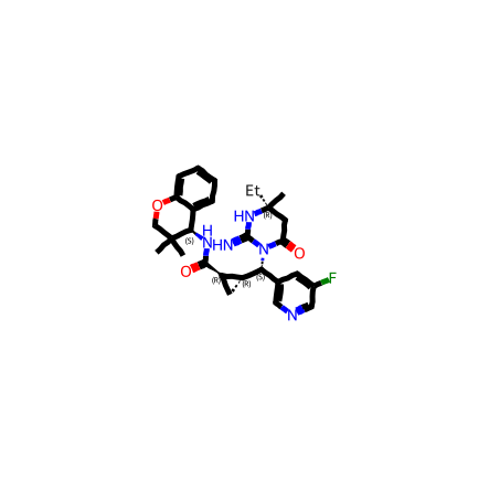 CC[C@]1(C)CC(=O)N([C@H](c2cncc(F)c2)[C@@H]2C[C@H]2C(=O)N[C@@H]2c3ccccc3OCC2(C)C)C(=N)N1